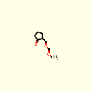 COCOCC1CCCC1=O